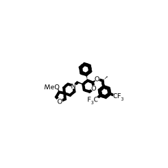 CO[C@H]1COCC12CCN(C[C@@H]1CCO[C@H](O[C@H](C)c3cc(C(F)(F)F)cc(C(F)(F)F)c3)[C@H]1c1ccccc1)CC2